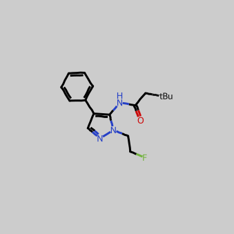 CC(C)(C)CC(=O)Nc1c(-c2ccccc2)cnn1CCF